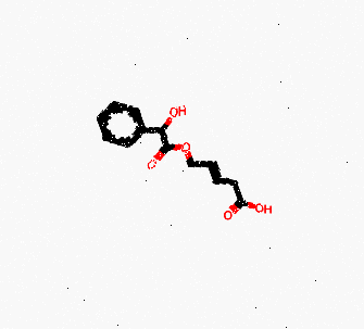 O=C(O)CC=CCOC(=O)C(O)c1ccccc1